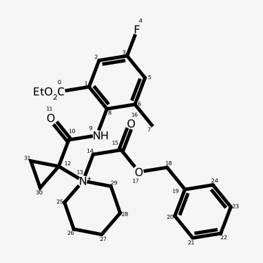 CCOC(=O)c1cc(F)cc(C)c1NC(=O)C1([N+]2(CC(=O)OCc3ccccc3)CCCCC2)CC1